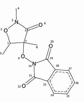 CC1ON(C)C(=O)C1(C)ON1C(=O)c2ccccc2C1=O